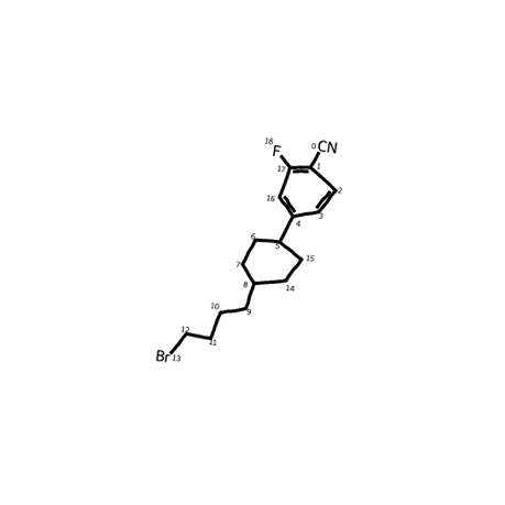 N#Cc1ccc(C2CCC(CCCCBr)CC2)cc1F